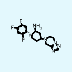 NC1CC(N2CCn3ncnc3C2)CC[C@@H]1c1cc(F)c(F)cc1F